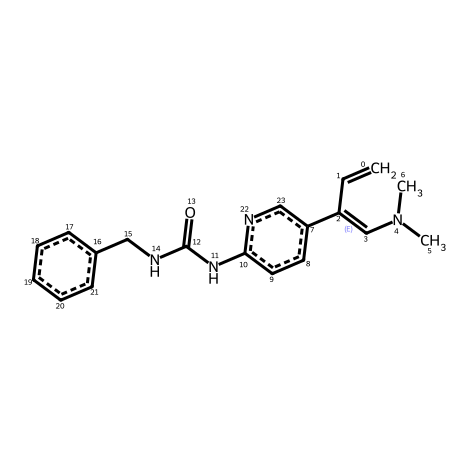 C=C/C(=C\N(C)C)c1ccc(NC(=O)NCc2ccccc2)nc1